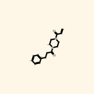 C=CC(=O)N1CCN(C(=O)CCc2ccccc2)CC1